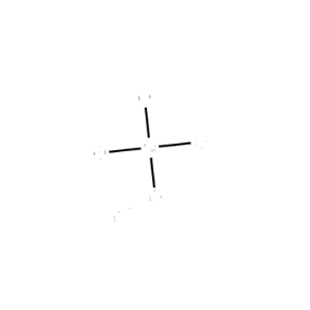 [C+4].[O-][Si]([O-])([O-])[O-]